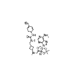 CN(C[C@H]1OC[C@@]2(n3cnc4c(N)ncnc43)OC(C)(C)O[C@H]12)C1CC(CNC(=O)Nc2ccc(C(C)(C)C)cc2)C1